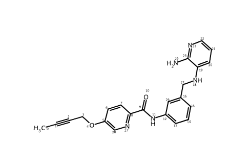 CC#CCOc1ccc(C(=O)Nc2cccc(CNc3cccnc3N)c2)nc1